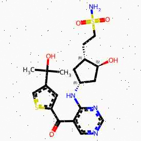 CC(C)(O)c1csc(C(=O)c2cncnc2N[C@@H]2C[C@H](CCS(N)(=O)=O)[C@@H](O)C2)c1